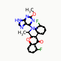 COc1nc(NC(C)c2oc3cccc(F)c3c(=O)c2-c2cccc(F)c2)c2nc[nH]c2n1